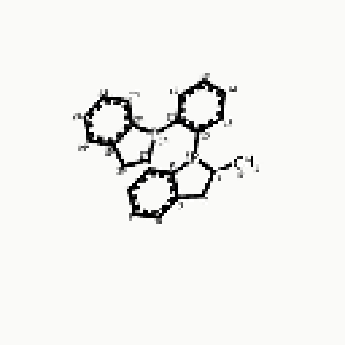 C[C@H]1Cc2ccccc2P1c1ccccc1P1CCc2ccccc21